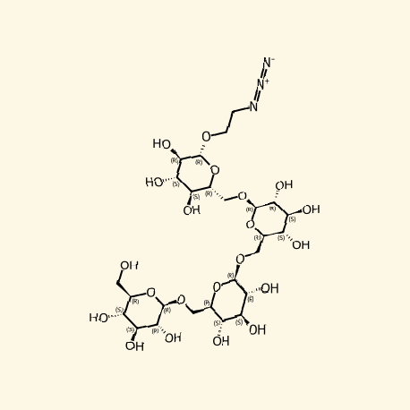 [N-]=[N+]=NCCO[C@@H]1O[C@H](CO[C@@H]2O[C@H](CO[C@@H]3O[C@H](CO[C@@H]4O[C@H](CO)[C@@H](O)[C@H](O)[C@H]4O)[C@@H](O)[C@H](O)[C@H]3O)[C@@H](O)[C@H](O)[C@H]2O)[C@@H](O)[C@H](O)[C@H]1O